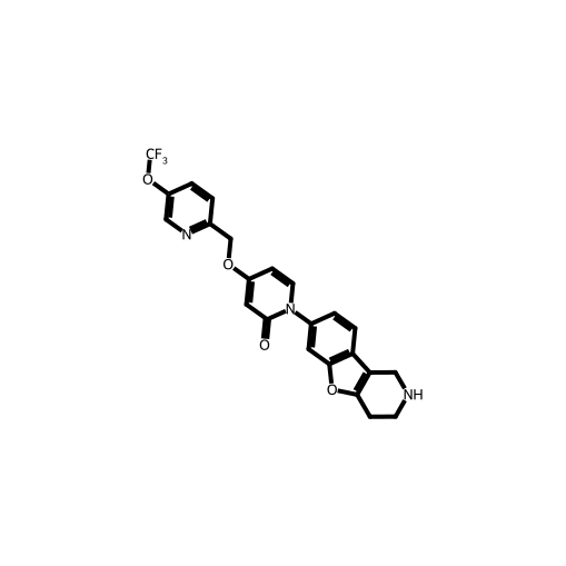 O=c1cc(OCc2ccc(OC(F)(F)F)cn2)ccn1-c1ccc2c3c(oc2c1)CCNC3